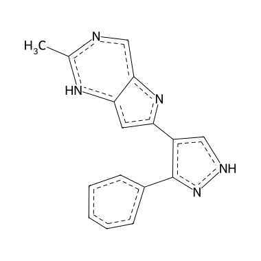 Cc1ncc2nc(-c3c[nH]nc3-c3ccccc3)cc-2[nH]1